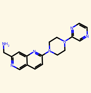 NCc1cc2nc(N3CCN(c4cnccn4)CC3)ccc2cn1